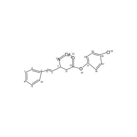 C=NC(C=Cc1ccccc1)CC(=O)Oc1ccc(Cl)cc1